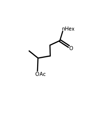 CCCCCCC(=O)CCC(C)OC(C)=O